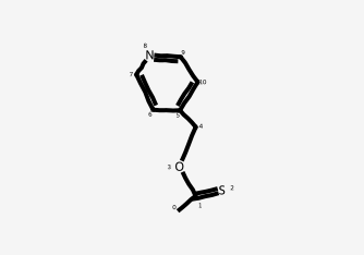 CC(=S)OCc1ccncc1